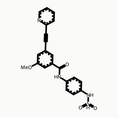 COc1cc(C#Cc2ccccn2)cc(C(=O)Nc2ccc(N[SH](=O)=O)cc2)c1